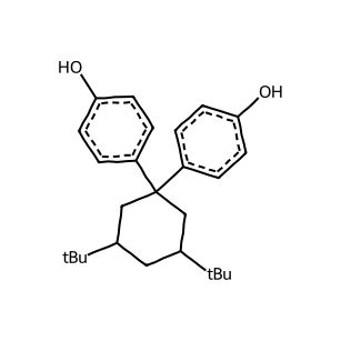 CC(C)(C)C1CC(C(C)(C)C)CC(c2ccc(O)cc2)(c2ccc(O)cc2)C1